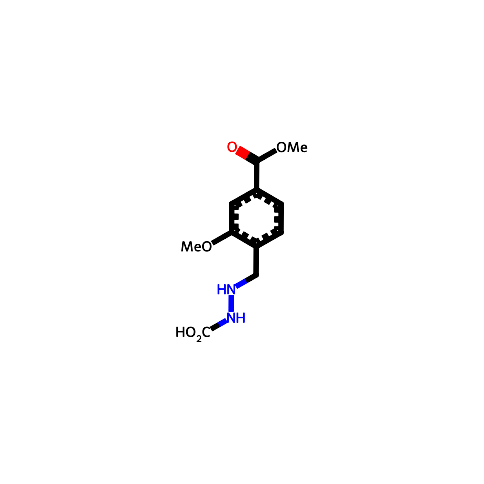 COC(=O)c1ccc(CNNC(=O)O)c(OC)c1